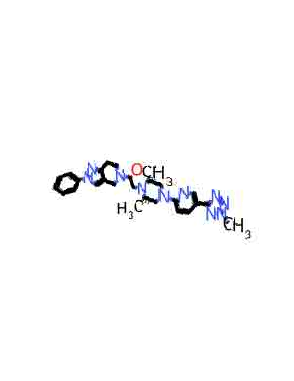 C[C@@H]1CN(c2ccc(-c3nnn(C)n3)cn2)C[C@H](C)N1CC(=O)N1CCc2nn(-c3ccccc3)cc2C1